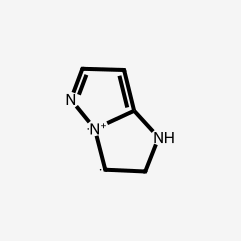 [CH]1CNC2=CC=N[N+]12